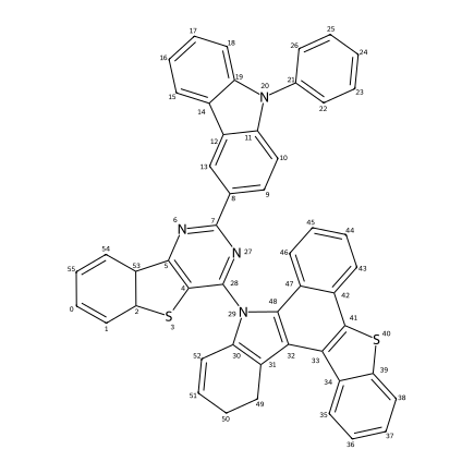 C1=CC2Sc3c(nc(-c4ccc5c(c4)c4ccccc4n5-c4ccccc4)nc3-n3c4c(c5c6c7ccccc7sc6c6ccccc6c53)CCC=C4)C2C=C1